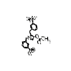 CC(=O)OC1CN(Cc2cccc([N+](=O)[O-])c2)C1Cc1cccc([N+](=O)[O-])c1